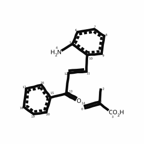 C=C(C)C(=O)O.Nc1ccccc1/C=C/C(=O)c1ccccc1